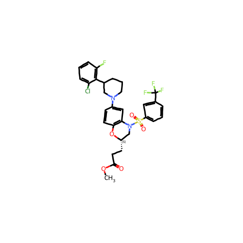 COC(=O)CC[C@H]1CN(S(=O)(=O)c2cccc(C(F)(F)F)c2)c2cc(N3CCCC(c4c(F)cccc4Cl)C3)ccc2O1